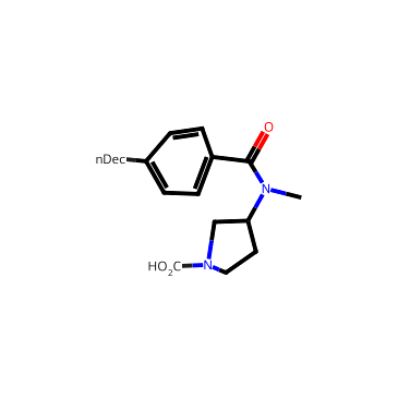 CCCCCCCCCCc1ccc(C(=O)N(C)C2CCN(C(=O)O)C2)cc1